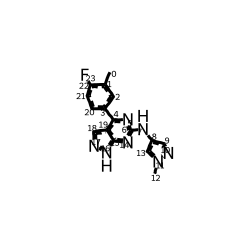 Cc1cc(-c2nc(Nc3cnn(C)c3)nc3[nH]ncc23)ccc1F